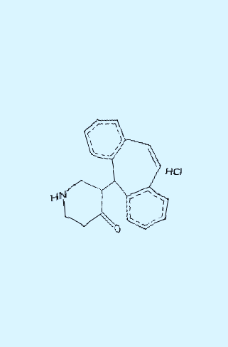 Cl.O=C1CCNCC1C1c2ccccc2C=Cc2ccccc21